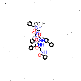 CC(NC(=O)[C@@H](Cc1ccccc1)NC(=O)[C@H](Cc1ccc(-c2ccccc2)cc1)NC(=O)[C@@H](CCc1ccccc1)NC(=O)CCNC(=O)c1ccccc1)C(=O)N[C@H](Cc1ccccc1)C(=O)O